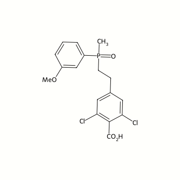 COc1cccc(P(C)(=O)CCc2cc(Cl)c(C(=O)O)c(Cl)c2)c1